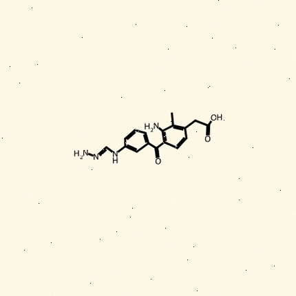 Cc1c(CC(=O)O)ccc(C(=O)c2cccc(NC=NN)c2)c1N